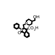 O=C(O)c1c(CN2CCC(CO)CC2)n(-c2ccccc2)c(=O)c2ccccc12